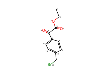 CCOC(=O)C(=O)c1ccc(CBr)cc1